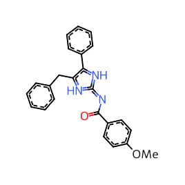 COc1ccc(C(=O)/N=c2\[nH]c(Cc3ccccc3)c(-c3ccccc3)[nH]2)cc1